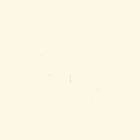 CCOC(=O)C(CC(C)C)C[PH](=O)COS(C)(=O)=O